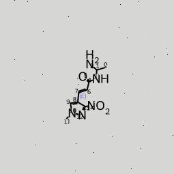 CC(N)NC(=O)/C=C/c1cn(C)nc1[N+](=O)[O-]